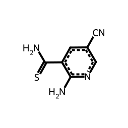 N#Cc1cnc(N)c(C(N)=S)c1